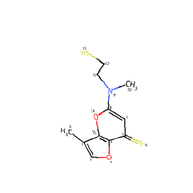 Cc1coc2c(=S)cc(N(C)CCS)oc12